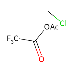 CC(=O)OC(=O)C(F)(F)F.CCl